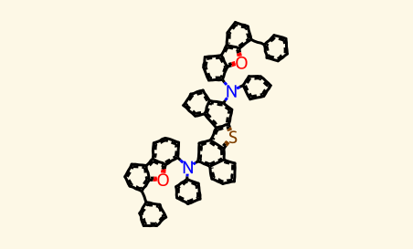 c1ccc(-c2cccc3c2oc2c(N(c4ccccc4)c4cc5c(sc6cc(N(c7ccccc7)c7cccc8c7oc7c(-c9ccccc9)cccc78)c7ccccc7c65)c5ccccc45)cccc23)cc1